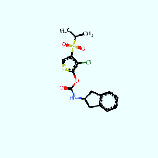 CC(C)S(=O)(=O)c1csc(OC(=O)NC2Cc3ccccc3C2)c1Cl